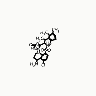 Cc1ccc(F)c(C(C)C(NS(=O)(=O)c2ccc(Cl)c3c2OCCC3N)c2n[nH]c(=O)o2)c1C